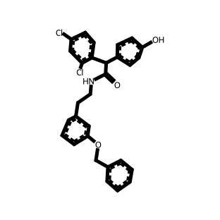 O=C(NCCc1cccc(OCc2ccccc2)c1)C(c1ccc(O)cc1)c1ccc(Cl)cc1Cl